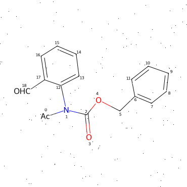 CC(=O)N(C(=O)OCc1ccccc1)c1ccccc1C=O